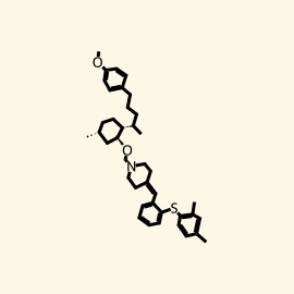 COc1ccc(CCCC(C)[C@H]2CC[C@@H](C)C[C@@H]2OCN2CCC(=Cc3ccccc3Sc3ccc(C)cc3C)CC2)cc1